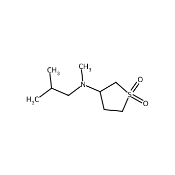 CC(C)CN(C)C1CCS(=O)(=O)C1